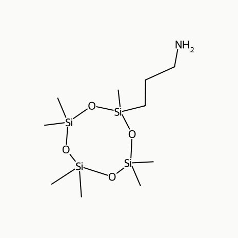 C[Si]1(C)O[Si](C)(C)O[Si](C)(CCCN)O[Si](C)(C)O1